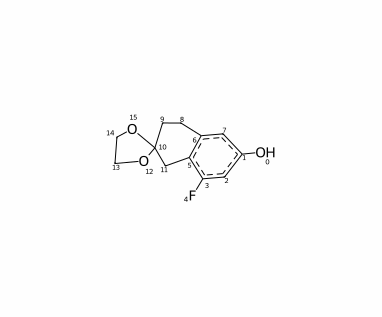 Oc1cc(F)c2c(c1)CCC1(C2)OCCO1